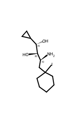 N[C@@H](CC1(I)CCCCC1)[C@@H](O)[C@@H](O)C1CC1